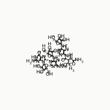 CC(O)C(NC(N)=O)C(=O)Nc1ncnc2c1ncn2[C@@H]1O[C@H](CO)[C@@H](O)[C@H]1O.CNc1ncnc2c1ncn2[C@@H]1O[C@H](CO)[C@@H](O)[C@H]1O.Nc1nc2c(ncn2[C@@H]2O[C@H](CO)[C@@H](O)[C@H]2O)c(=O)[nH]1